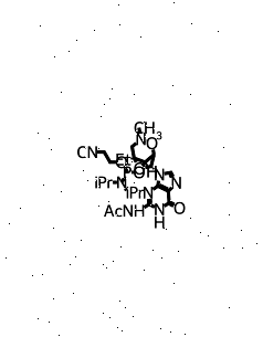 [C-]#[N+]CCOP(O[C@@H]1C2ON(C)C[C@]1(CC)O[C@H]2n1cnc2c(=O)[nH]c(NC(C)=O)nc21)N(C(C)C)C(C)C